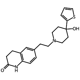 O=C1CCc2cc(CCN3CCC(O)(c4cccs4)CC3)ccc2N1